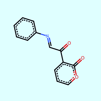 O=C(C=Nc1ccccc1)c1cccoc1=O